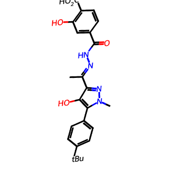 C/C(=N\NC(=O)c1ccc(C(=O)O)c(O)c1)c1nn(C)c(-c2ccc(C(C)(C)C)cc2)c1O